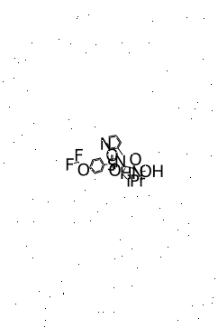 CC(C)C[C@H](C(=O)NO)N(Cc1cccnc1)S(=O)(=O)c1ccc(OC(F)F)cc1